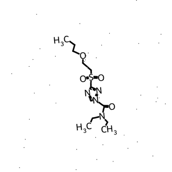 CCCOCCS(=O)(=O)c1ncn(C(=O)N(CC)CC)n1